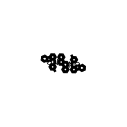 Cc1cccc(N(c2cccc3c2OC2C=CC=CC32)c2cc3c4ccccc4c(N(c4cccc(C)c4)c4cccc5c4OC4C=CC=CC54)cc3c3ccccc23)c1